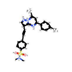 CN(C)S(=O)(=O)c1ccc(C#Cc2cnn3c(C(F)(F)F)cc(-c4ccc(C(F)(F)F)cc4)nc23)cc1